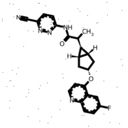 CC(C(=O)Nc1ccc(C#N)nn1)[C@H]1[C@@H]2C[C@H](Oc3ccnc4ccc(F)cc34)C[C@@H]21